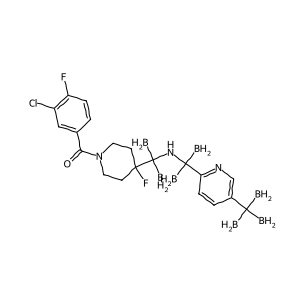 BC(B)(B)c1ccc(C(B)(B)NC(B)(B)C2(F)CCN(C(=O)c3ccc(F)c(Cl)c3)CC2)nc1